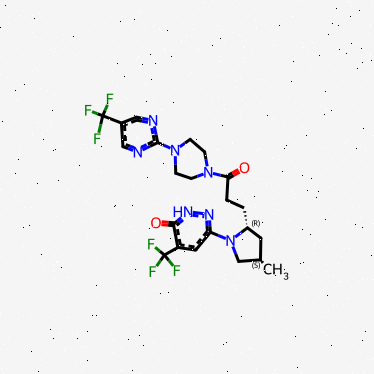 C[C@H]1C[C@@H](CCC(=O)N2CCN(c3ncc(C(F)(F)F)cn3)CC2)N(c2cc(C(F)(F)F)c(=O)[nH]n2)C1